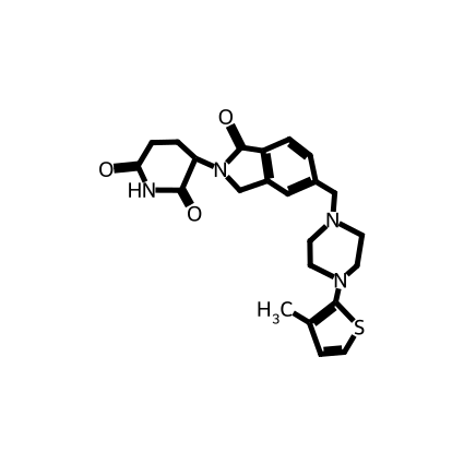 Cc1ccsc1N1CCN(Cc2ccc3c(c2)CN(C2CCC(=O)NC2=O)C3=O)CC1